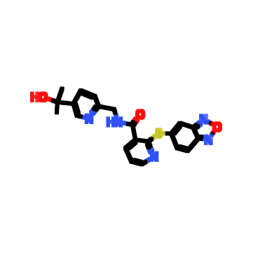 CC(C)(O)c1ccc(CNC(=O)c2cccnc2Sc2ccc3nonc3c2)nc1